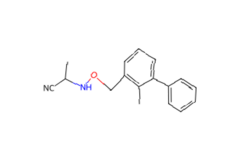 Cc1c(CONC(C)C#N)cccc1-c1ccccc1